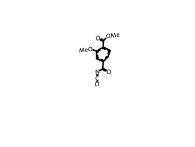 COC(=O)c1ccc(C(=O)N=C=O)cc1OC